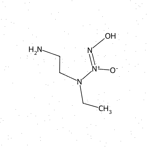 CCN(CCN)[N+]([O-])=NO